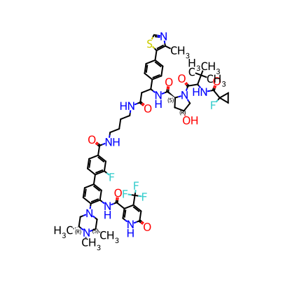 Cc1ncsc1-c1ccc(C(CC(=O)NCCCCNC(=O)c2ccc(-c3ccc(N4C[C@@H](C)N(C)[C@@H](C)C4)c(NC(=O)c4c[nH]c(=O)cc4C(F)(F)F)c3)c(F)c2)NC(=O)[C@@H]2C[C@@H](O)CN2C(=O)C(NC(=O)C2(F)CC2)C(C)(C)C)cc1